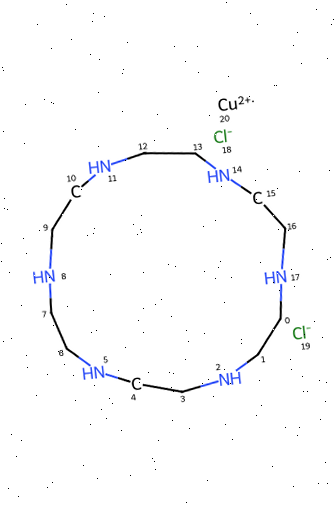 C1CNCCNCCNCCNCCNCCN1.[Cl-].[Cl-].[Cu+2]